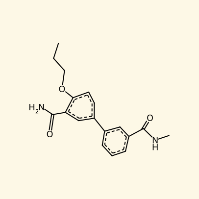 CCCOc1ccc(-c2cccc(C(=O)NC)c2)cc1C(N)=O